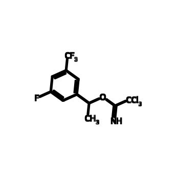 CC(OC(=N)C(Cl)(Cl)Cl)c1cc(F)cc(C(F)(F)F)c1